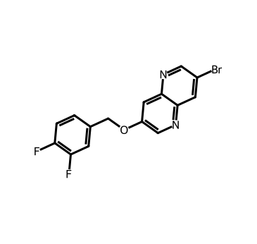 Fc1ccc(COc2cnc3cc(Br)cnc3c2)cc1F